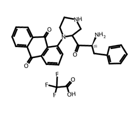 N[C@@H](Cc1ccccc1)C(=O)C1CNCCN1c1cccc2c1C(=O)c1ccccc1C2=O.O=C(O)C(F)(F)F